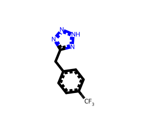 FC(F)(F)c1ccc(Cc2nn[nH]n2)cc1